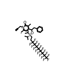 C#CCn1c(I)cc(C(Cc2ccccc2)O[Si](CCC(F)(F)C(F)(F)C(F)(F)C(F)(F)C(F)(F)C(F)(F)C(F)(F)C(F)(F)F)(C(C)C)C(C)C)c(C)c1=O